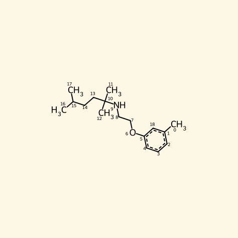 Cc1cccc(OCCNC(C)(C)CCC(C)C)c1